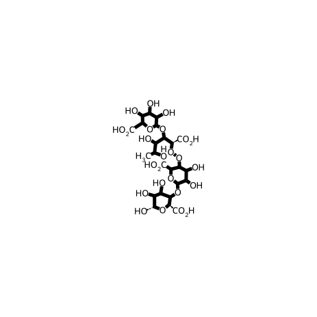 CC(O)C(O)C(OC1OC(C(=O)O)C(O)C(O)C1O)[C@@H](OOC1C(C(=O)O)OC(OC2C(O)C(O)[C@@H](O)O[C@H]2C(=O)O)C(O)C1O)C(=O)O